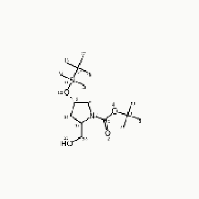 CC(C)(C)OC(=O)N1C[C@@H](O[Si](C)(C)C(C)(C)C)CC1CO